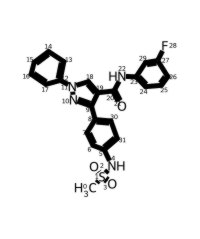 CS(=O)(=O)Nc1ccc(-c2nn(-c3ccccc3)cc2C(=O)Nc2cccc(F)c2)cc1